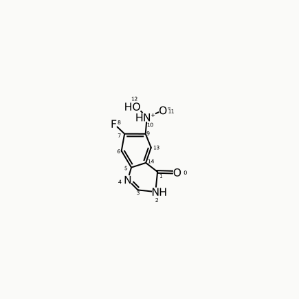 O=c1[nH]cnc2cc(F)c([NH+]([O-])O)cc12